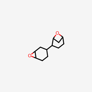 C1CC(C2CCC3OC3C2)C2CC1O2